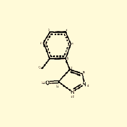 Cc1ccccc1C1=CN=NC1=O